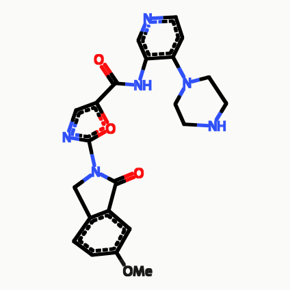 COc1ccc2c(c1)C(=O)N(c1ncc(C(=O)Nc3cnccc3N3CCNCC3)o1)C2